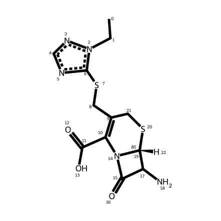 CCn1ncnc1SCC1=C(C(=O)O)N2C(=O)C(N)[C@H]2SC1